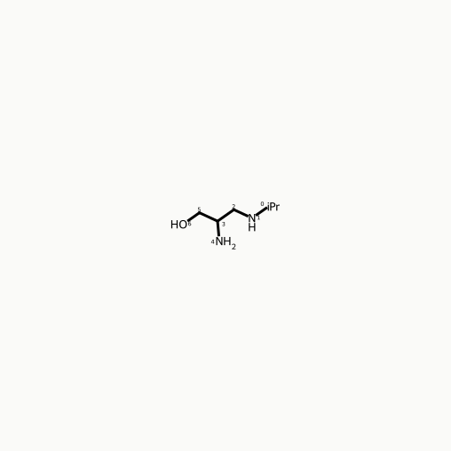 CC(C)NCC(N)CO